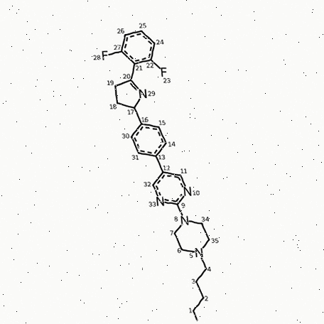 CCCCCN1CCN(c2ncc(-c3ccc(C4CCC(c5c(F)cccc5F)=N4)cc3)cn2)CC1